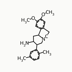 COc1cc2c(cc1OC)C1CC(N)C(c3cc(C)ccc3C)CN1CC2